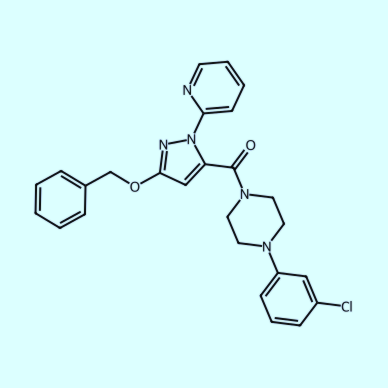 O=C(c1cc(OCc2ccccc2)nn1-c1ccccn1)N1CCN(c2cccc(Cl)c2)CC1